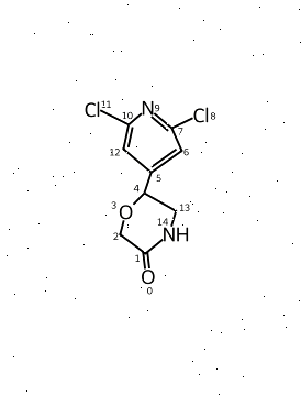 O=C1COC(c2cc(Cl)nc(Cl)c2)CN1